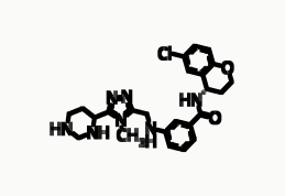 Cn1c(CNc2cccc(C(=O)N[C@H]3CCOc4ccc(Cl)cc43)c2)nnc1C1CCNCN1